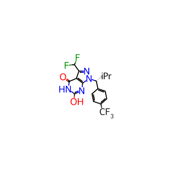 CC(C)[C@H](c1ccc(C(F)(F)F)cc1)n1nc(C(F)F)c2c(=O)[nH]c(O)nc21